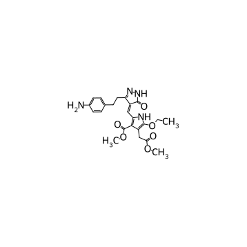 CCOc1[nH]c(C=C2C(=O)NN=C2CCc2ccc(N)cc2)c(C(=O)OC)c1CC(=O)OC